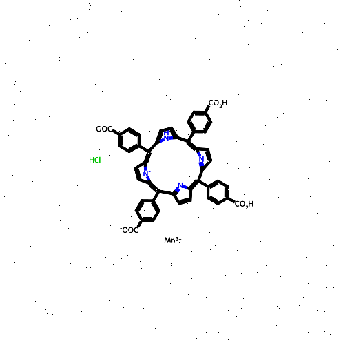 Cl.O=C([O-])c1ccc(-c2c3nc(c(-c4ccc(C(=O)O)cc4)c4nc(c(-c5ccc(C(=O)O)cc5)c5ccc([nH]5)c(-c5ccc(C(=O)[O-])cc5)c5ccc2[n-]5)C=C4)C=C3)cc1.[Mn+3]